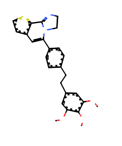 COc1cc(CCc2ccc(C3=Cc4ccsc4C4=NCCN34)cc2)cc(OC)c1OC